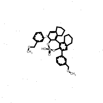 COCc1cccc(-c2cc3c(c4c2OP(=O)(O)OC2C4=C4CCCCC4=C[C@H]2c2cccc(COC)c2)CCCC3)c1